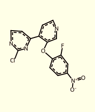 O=[N+]([O-])c1ccc(Oc2cnccc2-c2ccnc(Cl)n2)c(F)c1